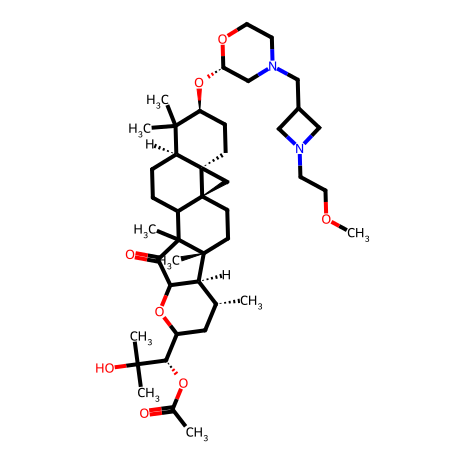 COCCN1CC(CN2CCO[C@@H](O[C@H]3CC[C@]45C[C@]46CC[C@]4(C)[C@@H]7C(OC([C@H](OC(C)=O)C(C)(C)O)C[C@H]7C)C(=O)C4(C)C6CC[C@H]5C3(C)C)C2)C1